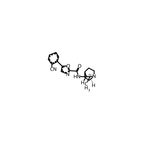 C[C@H]1[C@H](NC(=O)c2ncc(-c3ccccc3C#N)o2)C2CCN1CC2